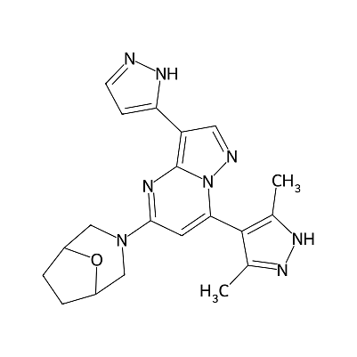 Cc1n[nH]c(C)c1-c1cc(N2CC3CCC(C2)O3)nc2c(-c3ccn[nH]3)cnn12